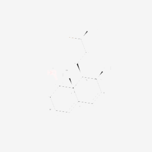 CCCC[C@H](S)CC[C@H]1[C@@H](C)C=CC2=C[C@H](C)C[C@H](O)[C@@]21C